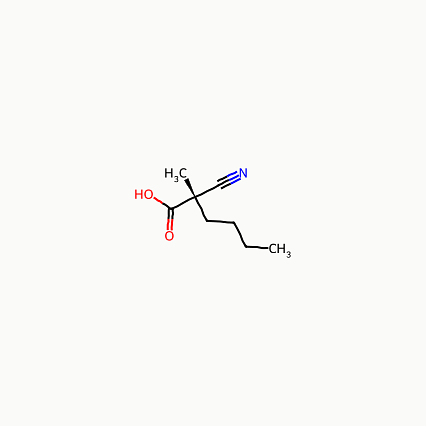 CCCC[C@@](C)(C#N)C(=O)O